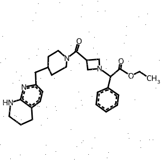 CCOC(=O)C(c1ccccc1)N1CC(C(=O)N2CCC(Cc3ccc4c(n3)NCCC4)CC2)C1